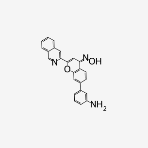 Nc1cccc(-c2ccc3/c(=N\O)cc(-c4cc5ccccc5cn4)oc3c2)c1